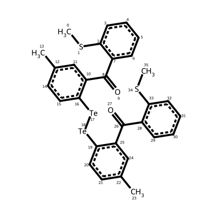 CSc1ccccc1C(=O)c1cc(C)ccc1[Te][Te]c1ccc(C)cc1C(=O)c1ccccc1SC